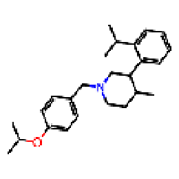 CC(C)Oc1ccc(CN2CCC(C)C(c3ccccc3C(C)C)C2)cc1